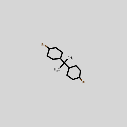 CC(C)(C1CCC(Br)CC1)C1CCC(Br)CC1